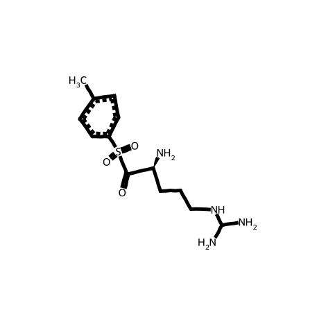 Cc1ccc(S(=O)(=O)C(=O)[C@@H](N)CCCNC(N)N)cc1